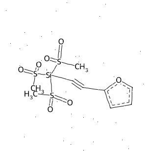 CS(=O)(=O)[Si](C#Cc1ccco1)(S(C)(=O)=O)S(C)(=O)=O